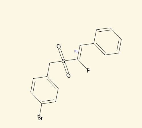 O=S(=O)(Cc1ccc(Br)cc1)/C(F)=C/c1ccccc1